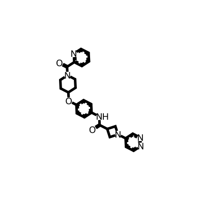 O=C(Nc1ccc(OC2CCN(C(=O)c3ccccn3)CC2)cc1)C1CN(c2ccnnc2)C1